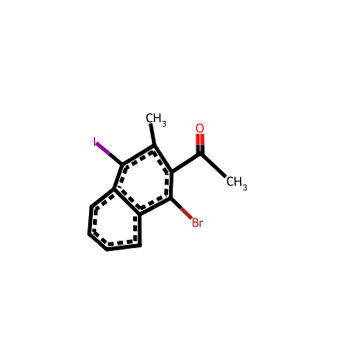 CC(=O)c1c(C)c(I)c2ccccc2c1Br